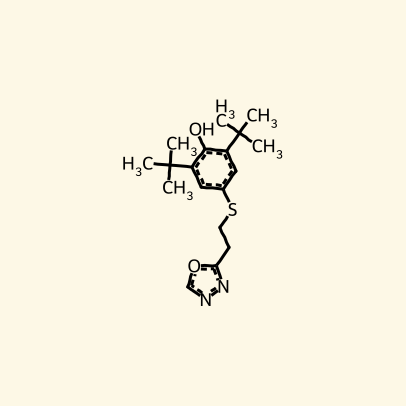 CC(C)(C)c1cc(SCCc2nnco2)cc(C(C)(C)C)c1O